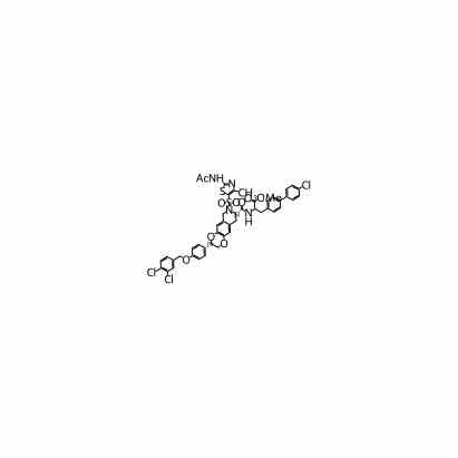 COC(=O)C(Cc1ccc(-c2ccc(Cl)cc2)cc1)NC(=O)[C@@H]1Cc2cc3c(cc2CN1S(=O)(=O)c1sc(NC(C)=O)nc1C)O[C@@H](c1ccc(OCc2ccc(Cl)c(Cl)c2)cc1)CO3